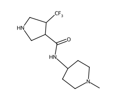 CN1CCC(NC(=O)C2CNCC2C(F)(F)F)CC1